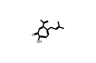 C=C(C)c1cc(=O)c(O)ccc1CC=C(C)C